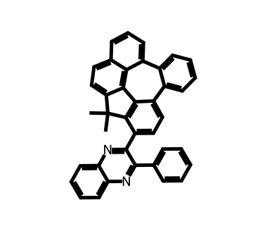 CC1(C)c2ccc3cccc4c3c2-c2c(ccc(-c3nc5ccccc5nc3-c3ccccc3)c21)-c1ccccc1-4